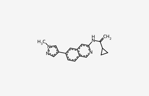 C=C(Nc1cc2cc(-c3cnn(C)c3)ccc2cn1)C1CC1